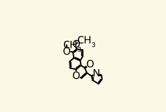 COc1ccc2c(ccc3occ(-c4ccccn4)c(=O)c32)c1OC